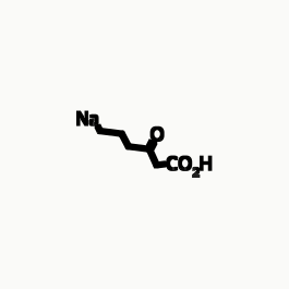 O=C(O)CC(=O)CC[CH2][Na]